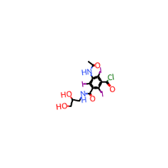 CC(=O)Nc1c(I)c(C(=O)Cl)c(I)c(C(=O)NCC(O)CO)c1I